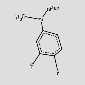 CCCCCCN(C)c1ccc(F)c(F)c1